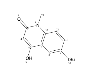 Cn1c(=O)cc(O)c2cc(C(C)(C)C)ccc21